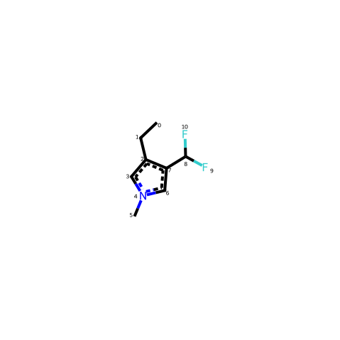 CCc1cn(C)cc1C(F)F